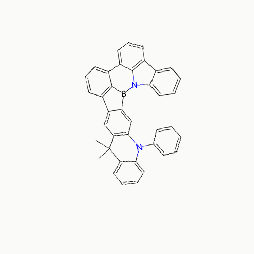 CC1(C)c2ccccc2N(c2ccccc2)c2cc3c(cc21)-c1cccc2c1B3n1c3ccccc3c3cccc-2c31